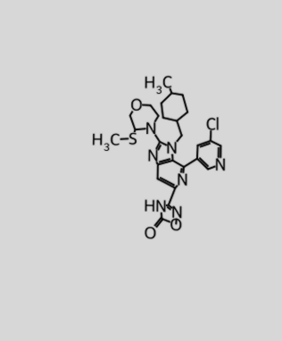 CSC1COCCN1c1nc2cc(-c3noc(=O)[nH]3)nc(-c3cncc(Cl)c3)c2n1CC1CCC(C)CC1